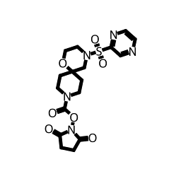 O=C(ON1C(=O)CCC1=O)N1CCC2(CC1)CN(S(=O)(=O)c1cnccn1)CCO2